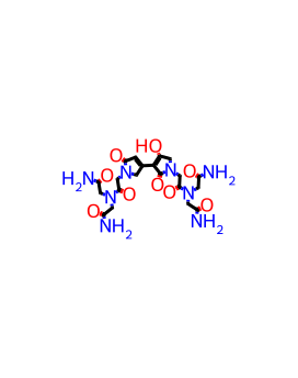 NC(=O)CN(CC(N)=O)C(=O)CN1CC(C2=C(O)CN(CC(=O)N(CC(N)=O)CC(N)=O)C2=O)=CC1=O